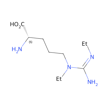 CCN=C(N)N(CC)CCC[C@H](N)C(=O)O